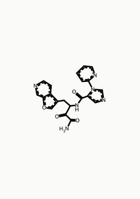 NC(=O)C(=O)C(Cc1coc2cnccc12)NC(=O)c1cncn1-c1ccccn1